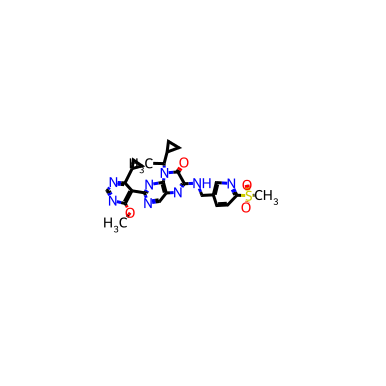 COc1ncnc(C2CC2)c1-c1ncc2nc(NCc3ccc(S(C)(=O)=O)nc3)c(=O)n(C(C)C3CC3)c2n1